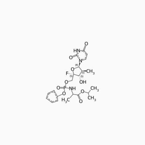 CC(C)OC(=O)C(C)NP(=O)(OC[C@@]1(F)O[C@@H](n2ccc(=O)[nH]c2=O)[C@@H](C)[C@@H]1O)Oc1ccccc1